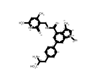 Cc1cc(C)c(CNC(=O)c2cc(-c3ccc(CC(N)C(=O)O)cc3)cc3c2c(C)cn3C(C)C)c(=O)[nH]1